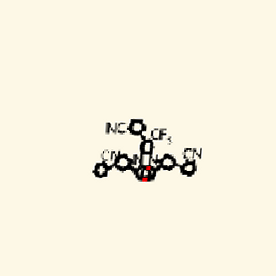 N#Cc1cccc(-c2cc(-n3c4ccccc4c4cc(-c5ccccc5C#N)ccc43)c(-n3c4ccccc4c4cc(-c5ccccc5C#N)ccc43)cc2C(F)(F)F)c1